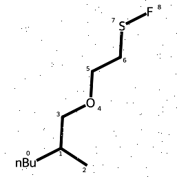 CCCCC(C)COCCSF